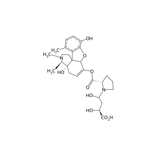 Cc1ccc(O)c2c1C13CCN(C)[C@H](C)[C@]1(O)CC=C(OC(=O)[C@@H]1CCCN1C(O)C[C@H](O)C(=O)O)C3O2